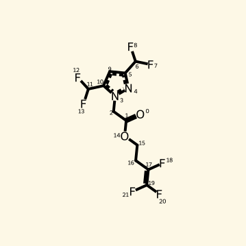 O=C(Cn1nc(C(F)F)cc1C(F)F)OCCC(F)=C(F)F